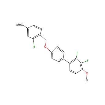 CCOc1ccc(-c2ccc(OCc3ccc(OC)cc3F)cc2)c(F)c1F